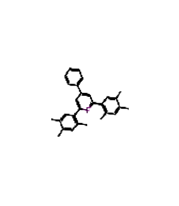 Cc1cc(C)c(-c2cc(-c3ccccc3)cc(-c3cc(C)c(C)cc3C)p2)cc1C